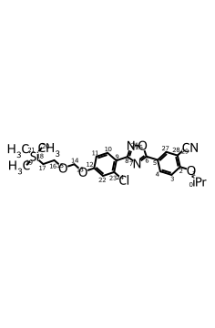 CC(C)Oc1ccc(-c2nc(-c3ccc(OCOCC[Si](C)(C)C)cc3Cl)no2)cc1C#N